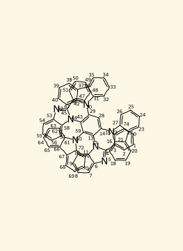 c1ccc(-c2nc3ccccc3n2-c2c(-n3c4ccccc4c4ccccc43)cc(-n3c4ccccc4c4ccccc43)c(-n3c(-c4ccccc4)nc4ccccc43)c2-n2c3ccccc3c3ccccc32)cc1